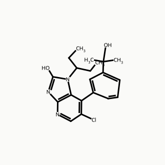 CCC(CC)n1c(O)nc2ncc(Cl)c(-c3cccc(C(C)(C)O)c3)c21